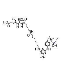 CC/C=C(/O)CN(C)C(C)Cc1ccc(Nc2nc(NCCCCCCCC(=O)NCCCC[C@H](NC(=O)N[C@H](C=O)CCC(=O)O)C(=O)O)nc(N(C)C)n2)cc1